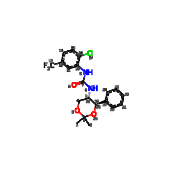 CC1(C)OC[C@H](NC(=O)Nc2cc(C(F)(F)F)ccc2Cl)[C@@H](c2ccccc2)O1